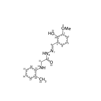 COc1cccc(/C=N/NC(=O)CNc2ccccc2C)c1O